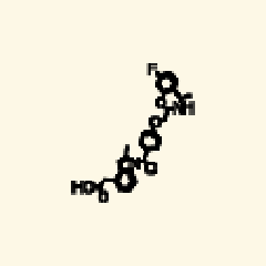 Cc1cc2c(CC(=O)O)cccc2n1C(=O)c1ccc(OCC2NC(C)c3ccc(F)cc3O2)cc1